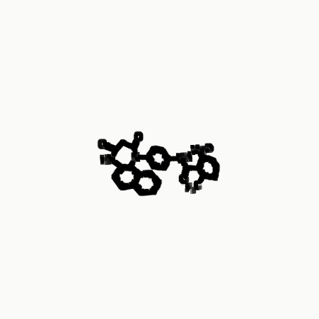 COc1cccc(C(F)(F)F)c1C(=O)Nc1ccc(N2C(=O)CC(=O)Nc3ccc4ccccc4c32)cc1